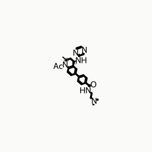 CC(=O)N1c2ccc(-c3ccc(C(=O)NCCN(C)C)cc3)cc2[C@H](Nc2cnccn2)C[C@@H]1C